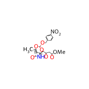 COC(=O)CC(=O)C[C@H]1NC(=O)[C@@H]1[C@H](C)OC(=O)OCc1ccc([N+](=O)[O-])cc1